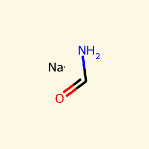 NC=O.[Na]